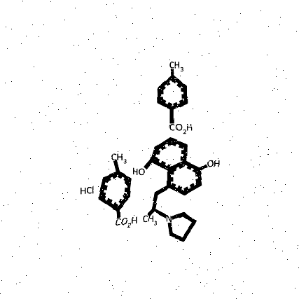 CC(Cc1ccc(O)c2cccc(O)c12)N1CCCC1.Cc1ccc(C(=O)O)cc1.Cc1ccc(C(=O)O)cc1.Cl